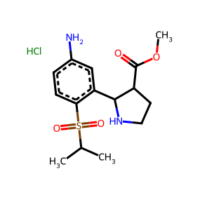 COC(=O)C1CCNC1c1cc(N)ccc1S(=O)(=O)C(C)C.Cl